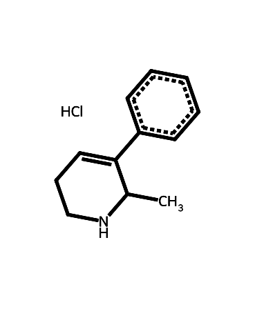 CC1NCCC=C1c1ccccc1.Cl